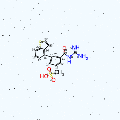 CS(=O)(=O)O.N=C(N)NC(=O)c1cccc(-c2cccc3sccc23)c1